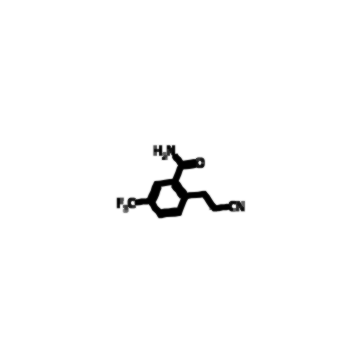 N#C[CH]Cc1ccc(C(F)(F)F)cc1C(N)=O